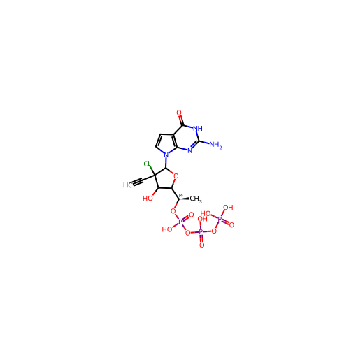 C#CC1(Cl)C(O)C([C@@H](C)OP(=O)(O)OP(=O)(O)OP(=O)(O)O)OC1n1ccc2c(=O)[nH]c(N)nc21